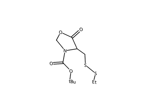 CCSSCC1C(=O)OCN1C(=O)OC(C)(C)C